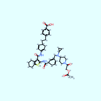 CC(=O)OCC(=O)N1CCC(N(CC2=CC(C(=O)Nc3sc4c(c3C(=O)NC3=CCC(CCc5ccc(C(=O)O)cc5)C=C3)CCCC4)CC=C2)C2CC2)CC1